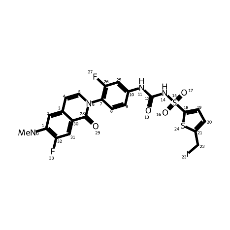 CNc1cc2ccn(-c3ccc(NC(=O)NS(=O)(=O)c4ccc(CI)s4)cc3F)c(=O)c2cc1F